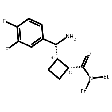 CCN(CC)C(=O)[C@@H]1CC[C@@H]1C(N)c1ccc(F)c(F)c1